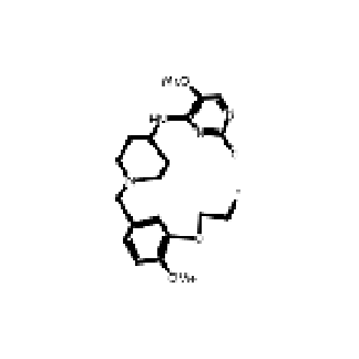 COc1ccc(CN2CCC(Nc3nc(Cl)ncc3OC)CC2)cc1OCCF